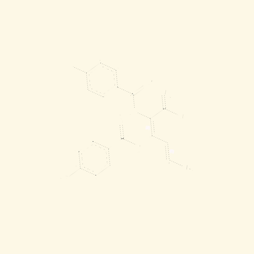 C=C(C)/C(OC(=O)c1ccc(F)cc1)=C(\C=C\C(C)(C)C)OC(=O)c1ccc(F)cc1